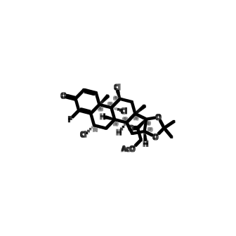 CC(=O)OCC(=O)[C@@]12OC(C)(C)O[C@@H]1C[C@H]1[C@@H]3C[C@H](Cl)C4=C(F)C(=O)C=C[C@]4(C)[C@@]3(Cl)[C@@H](Cl)C[C@@]12C